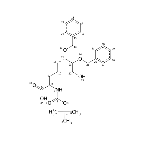 CC(C)(C)OC(=O)NC(CCC[C@H](OCc1ccccc1)C(CO)OCc1ccccc1)C(=O)O